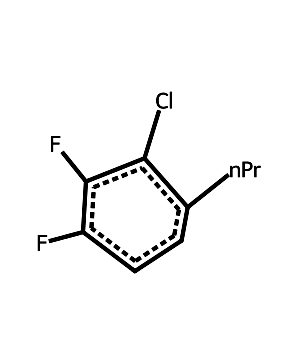 CCCc1ccc(F)c(F)c1Cl